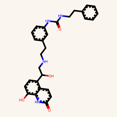 O=C(NCCc1ccccc1)Nc1cccc(CCNCC(O)c2ccc(O)c3[nH]c(=O)ccc23)c1